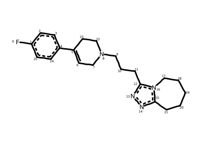 Fc1ccc(C2=CCN(CCCc3nnc4n3CCCCC4)CC2)cc1